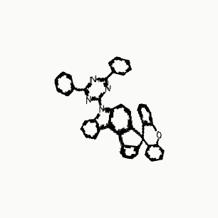 c1ccc(-c2nc(-c3ccccc3)nc(-n3c4ccccc4c4c5c(ccc43)C3(c4ccccc4Oc4ccccc43)c3ccccc3-5)n2)cc1